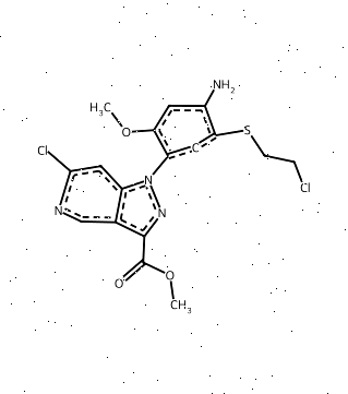 COC(=O)c1nn(-c2cc(SCCCl)c(N)cc2OC)c2cc(Cl)ncc12